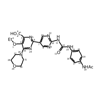 CCOc1c(C(=O)O)nc(-c2cnc(NC(=O)Nc3ccc(NC(C)=O)cc3)nc2)nc1N1CCOCC1